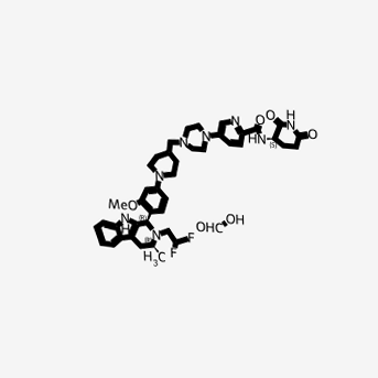 COc1cc(N2CCC(CN3CCN(c4ccc(C(=O)N[C@H]5CCC(=O)NC5=O)nc4)CC3)CC2)ccc1[C@@H]1c2[nH]c3ccccc3c2C[C@@H](C)N1CC(F)F.O=CO